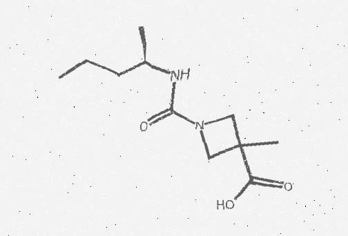 CCC[C@@H](C)NC(=O)N1CC(C)(C(=O)O)C1